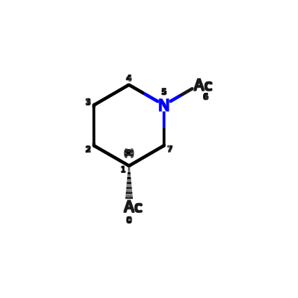 CC(=O)[C@@H]1CCCN(C(C)=O)C1